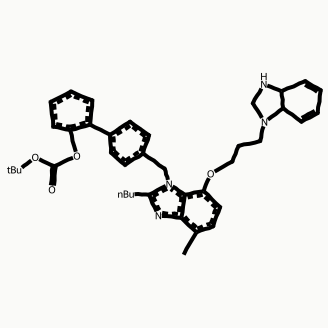 CCCCc1nc2c(C)ccc(OCCCN3CNC4C=CC=CC43)c2n1Cc1ccc(-c2ccccc2OC(=O)OC(C)(C)C)cc1